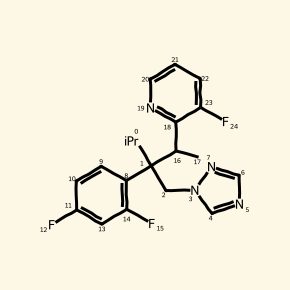 CC(C)C(Cn1cncn1)(c1ccc(F)cc1F)C(C)c1ncccc1F